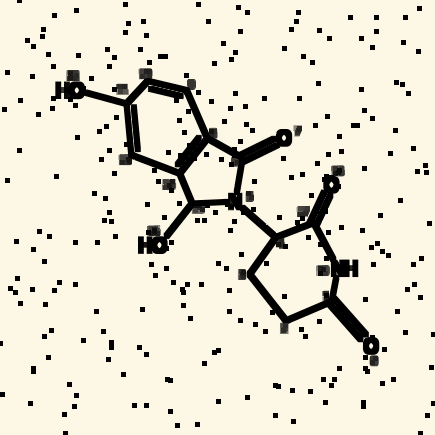 O=C1CCC(N2C(=O)c3ccc(O)cc3C2O)C(=O)N1